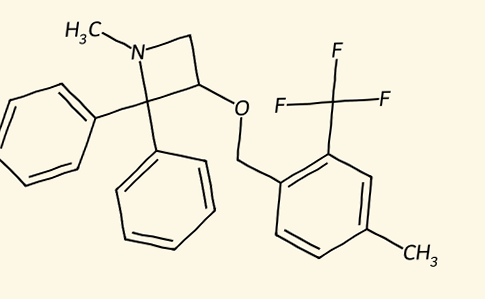 Cc1ccc(COC2CN(C)C2(c2ccccc2)c2ccccc2)c(C(F)(F)F)c1